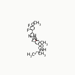 C=CCC(C)C(=N)CC(=O)c1ccc(N/C2=C\C/C=C\C=C3\CC(c4ccc(OC)c(F)c4F)=CN=C32)cc1C